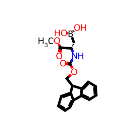 COC(=O)[C@H](CB(O)O)NC(=O)OCC1c2ccccc2-c2ccccc21